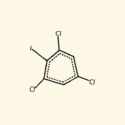 Clc1cc(Cl)c(I)c(Cl)c1